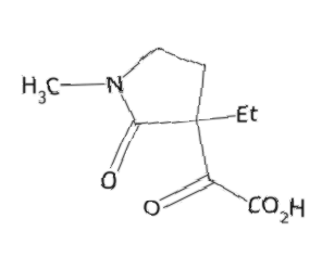 CCC1(C(=O)C(=O)O)CCN(C)C1=O